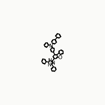 c1ccc(-c2ccc(N(c3ccccc3)c3ccc(-c4cc(-c5nc(-c6ccccc6)nc(-c6ccccc6)n5)cc5oc6ccccc6c45)cc3)cc2)cc1